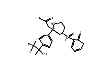 CC(O)(c1ccc([C@@]2(CC(=O)O)CN(S(=O)(=O)C3=CC=CCC3=S)CCN2)cc1)C(F)(F)F